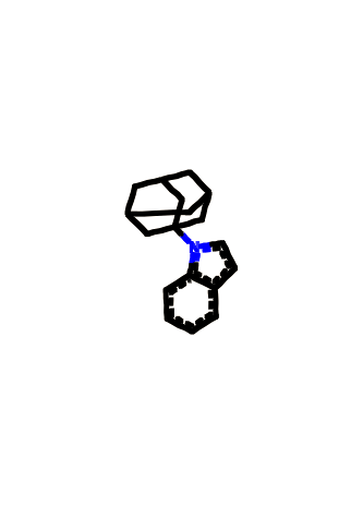 c1ccc2c(c1)ccn2C12CC3CC(CC(C3)C1)C2